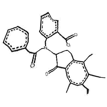 Cc1c(C)c(C)c2c(c1C)CC(N(C(=O)c1ccccc1)c1ccccc1C(=O)Cl)C2=O